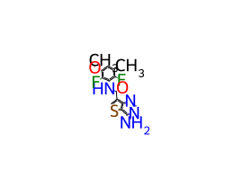 COc1cc(C)c(F)c(NC(=O)c2csc3c(N)ncnc23)c1F